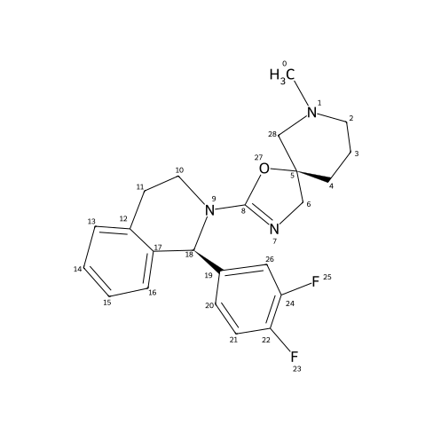 CN1CCC[C@]2(CN=C(N3CCc4ccccc4[C@@H]3c3ccc(F)c(F)c3)O2)C1